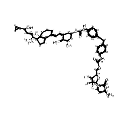 C=C1/C(=C\C=C2/CCC[C@@]3(C)C2CCC3[C@@H](C)/C=C/C(O)C2CC2)C[C@@H](OC(=O)Nc2ccc(Cc3ccc(NC(=O)OCC4OC(n5ccc(N)nc5=O)C(F)(F)C4O)cc3)cc2)C[C@@H]1O